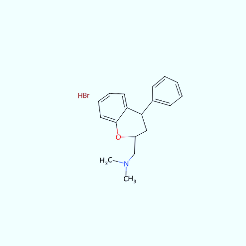 Br.CN(C)CC1CC(c2ccccc2)c2ccccc2O1